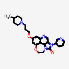 CC1CCN(CCCOc2cc3c4c(c2)ncc2c4n(c(=O)n2-c2cccnc2)CCO3)CC1